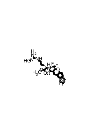 COC(=O)[C@H](CCCCNC(N)=NO)NC(=O)C1=Cc2cc(S(F)(F)(F)(F)F)ccc2O[C@@H]1C(F)(F)F